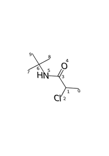 CC(Cl)C(=O)NC(C)(C)C